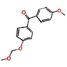 COCOc1ccc(C(=O)c2ccc(OC)cc2)cc1